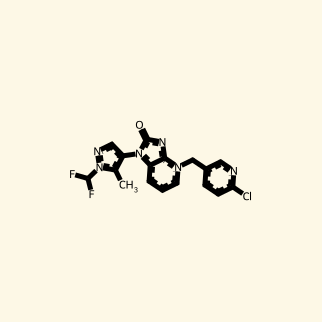 Cc1c(-n2c3cccn(Cc4ccc(Cl)nc4)c-3nc2=O)cnn1C(F)F